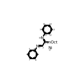 CCCCCCCCC(C=Nc1ccccc1)=Nc1ccccc1.[Ni]